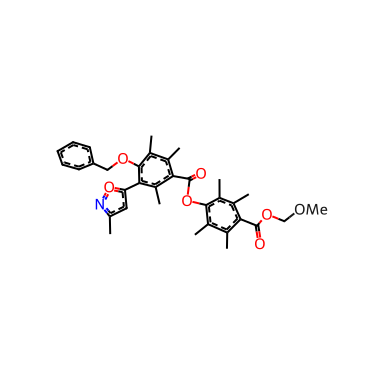 COCOC(=O)c1c(C)c(C)c(OC(=O)c2c(C)c(C)c(OCc3ccccc3)c(-c3cc(C)no3)c2C)c(C)c1C